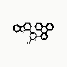 Clc1nc(-c2cccc3c2sc2ccccc23)nc(-c2cccc3c4ccccc4c4ccccc4c23)n1